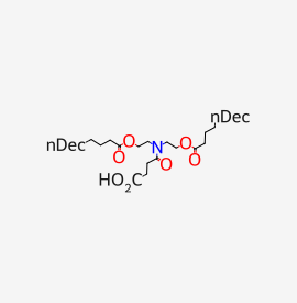 CCCCCCCCCCCCCC(=O)OCCN(CCOC(=O)CCCCCCCCCCCCC)C(=O)CCC(=O)O